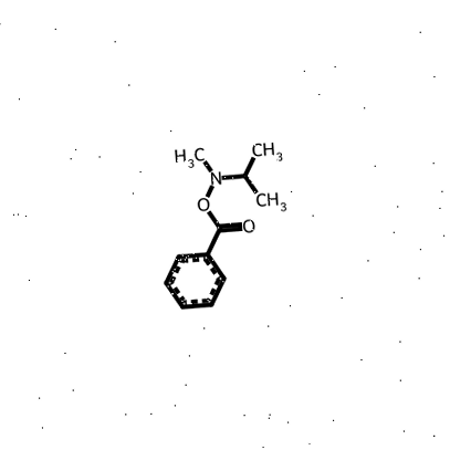 CC(C)N(C)OC(=O)c1ccccc1